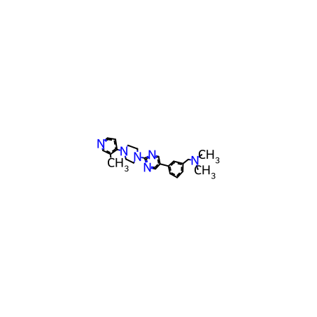 Cc1cnccc1N1CCN(c2ncc(-c3cccc(CN(C)C)c3)cn2)CC1